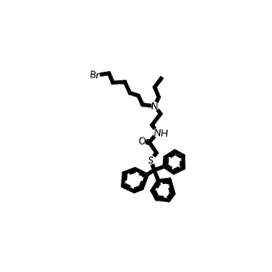 CCCN(CCCCCCBr)CCNC(=O)CSC(c1ccccc1)(c1ccccc1)c1ccccc1